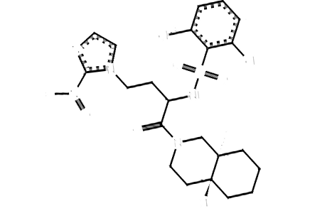 O=C(C(CCn1ccnc1[N+](=O)[O-])NS(=O)(=O)c1c(Cl)cccc1Cl)N1CC[C@H]2CCCC[C@@H]2C1